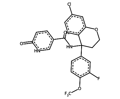 O=C(NC1(c2ccc(OC(F)(F)F)c(F)c2)CCOc2cc(Cl)cnc21)c1ccc(=O)[nH]c1